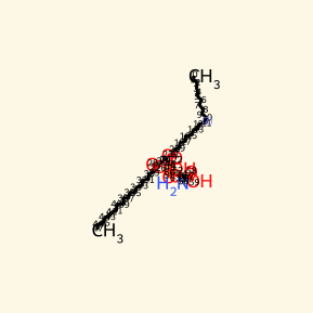 CCCCCCCCCC/C=C\CCCCCCCCCC(=O)O[C@H](COC(=O)CCCCCCCCCCCCCCCCCCC)COP(=O)(O)OC[C@H](N)C(=O)O